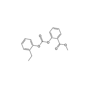 CCc1ccccc1OC(=O)Oc1ccccc1C(=O)OC